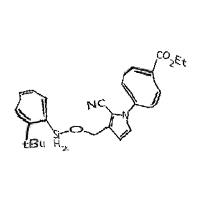 CCOC(=O)c1ccc(-n2ccc(CO[SiH2]c3ccccc3C(C)(C)C)c2C#N)cc1